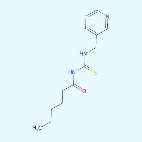 CCCCCC(=O)NC(=S)NCc1cccnc1